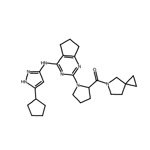 O=C(C1CCCN1c1nc2c(c(Nc3cc(C4CCCC4)[nH]n3)n1)CCC2)N1CCC2(CC2)C1